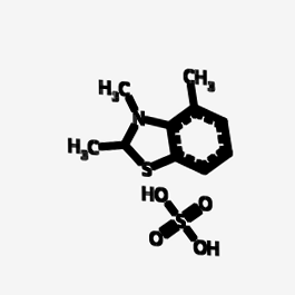 Cc1cccc2c1N(C)C(C)S2.O=S(=O)(O)O